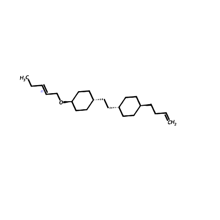 C=CCC[C@H]1CC[C@H](CC[C@H]2CC[C@H](OC/C=C/CC)CC2)CC1